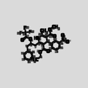 CCOC(=O)C1=C(CC(Cc2ccccc2)OC(=O)C(F)(F)F)NC(C)=C(C(=O)OC)C1c1cccc([N+](=O)[O-])c1